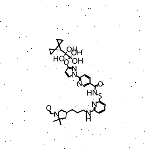 CC1(C)CC(CCCNc2cccc(SNC(=O)c3ccc(-n4ccc(OC(O)(O)C(O)(O)C5C6(CC6)C56CC6)n4)nc3)n2)CN1C=O